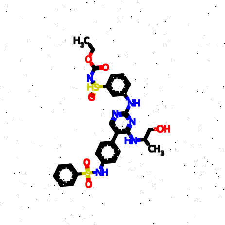 CCOC(=O)/N=[SH](=O)\c1cccc(Nc2ncc(-c3ccc(NS(=O)(=O)c4ccccc4)cc3)c(NC(C)CO)n2)c1